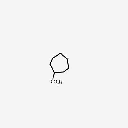 O=C(O)C1CC[CH]CCC1